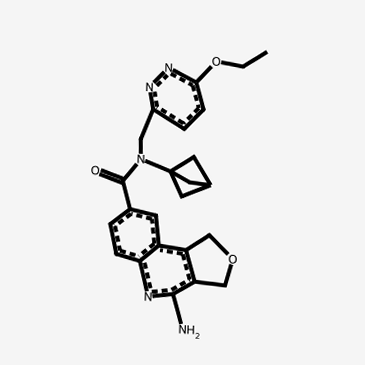 CCOc1ccc(CN(C(=O)c2ccc3nc(N)c4c(c3c2)COC4)C23CC(C2)C3)nn1